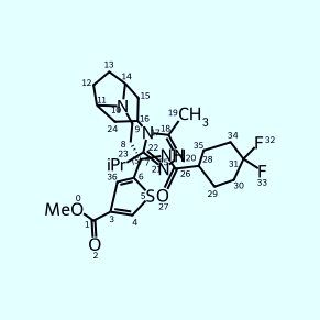 COC(=O)c1csc([C@H](CCN2C3CCC2CC(n2c(C)nnc2C(C)C)C3)NC(=O)C2CCC(F)(F)CC2)c1